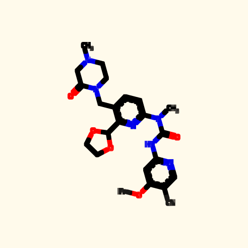 CC(C)Oc1cc(NC(=O)N(C)c2ccc(CN3CCN(C)CC3=O)c(C3OCCO3)n2)ncc1C#N